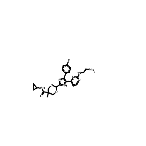 CC1(C(=O)NC2CC2)COC(c2nc(-c3ccc(F)cc3)c(-c3ccnc(NCCN)n3)[nH]2)OC1